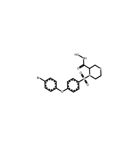 O=C(NO)C1CSCCN1S(=O)(=O)c1ccc(Oc2ccc(Br)cc2)cc1